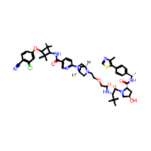 Cc1ncsc1-c1ccc([C@H](C)NC(=O)[C@@H]2C[C@@H](O)CN2C(=O)[C@@H](NC(=O)COCCN2C[C@@H]3C[C@H]2CN3c2ccc(C(=O)NC3C(C)(C)C(Oc4ccc(C#N)c(Cl)c4)C3(C)C)cn2)C(C)(C)C)cc1